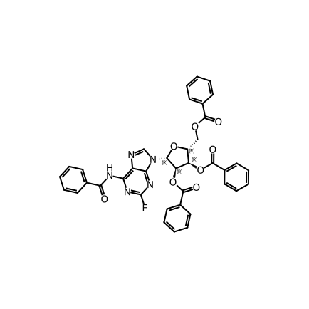 O=C(Nc1nc(F)nc2c1ncn2[C@@H]1O[C@H](COC(=O)c2ccccc2)[C@@H](OC(=O)c2ccccc2)[C@H]1OC(=O)c1ccccc1)c1ccccc1